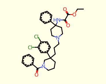 CCOC(=O)C(=O)NC1(c2ccccc2)CCN(CCCC2(c3ccc(Cl)c(Cl)c3)CCCN(C(=O)c3ccccc3)C2)CC1